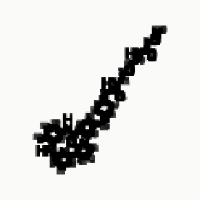 C=NOCC(=O)NCCOCCNC(=O)CN1CCN(Cc2ccc(C(=O)Nc3ccc(C)c(Nc4nccc(-c5cccnc5)n4)c3)cc2)CC1